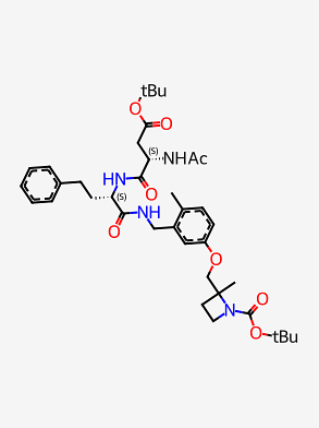 CC(=O)N[C@@H](CC(=O)OC(C)(C)C)C(=O)N[C@@H](CCc1ccccc1)C(=O)NCc1cc(OCC2(C)CCN2C(=O)OC(C)(C)C)ccc1C